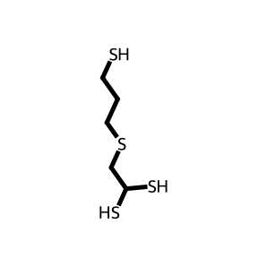 SCCCSCC(S)S